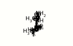 COc1cc(S(N)(=O)=O)ccc1NCC#Cc1cc2c(NC(C)CCI)cccc2n1CC(F)(F)F